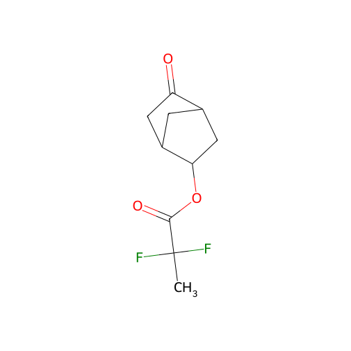 CC(F)(F)C(=O)OC1CC2CC1CC2=O